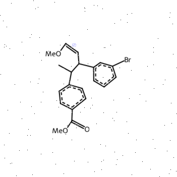 CO/C=C\C(c1cccc(Br)c1)C(C)c1ccc(C(=O)OC)cc1